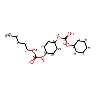 CC(C)CCCCOC(=O)OC1CCC(OC(=O)OC2CCCCC2)CC1